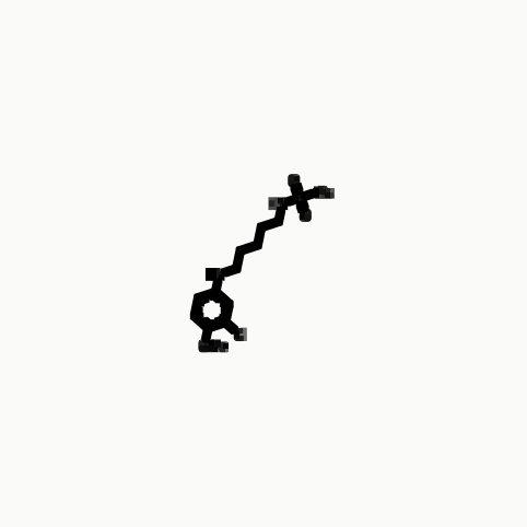 COc1ccc(NCCCCCNS(=O)(=O)C(C)(C)C)cc1Cl